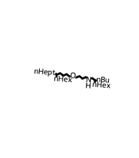 CCCCCCCC(CCCCCC)CCCCOCCCCNCC(CCCC)CCCCCC